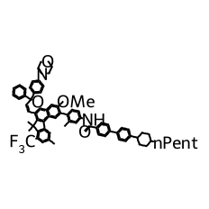 CCCCCC1CCC(c2ccc(-c3ccc(C(=O)Nc4ccc(-c5cc6c7c(c8c(c6cc5OC)OC(c5ccccc5)(c5ccc(N6CCOCC6)cc5)C=C8)C(C)(C)c5c-7cc(C)cc5C(F)(F)F)c(C)c4)cc3)cc2)CC1